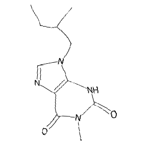 CCC(C)Cn1cnc2c(=O)n(C)c(=O)[nH]c21